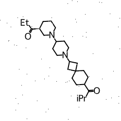 CCC(=O)[C@H]1CCCN(C2CCN(C3CC4(CCC(C(=O)C(C)C)CC4)C3)CC2)C1